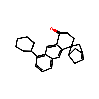 O=C1CCC2(CC3=CCC2C3)c2cc3cccc(C4CCCCC4)c3cc21